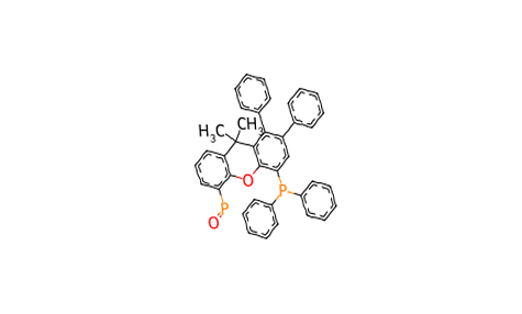 CC1(C)c2cccc(P=O)c2Oc2c(P(c3ccccc3)c3ccccc3)cc(-c3ccccc3)c(-c3ccccc3)c21